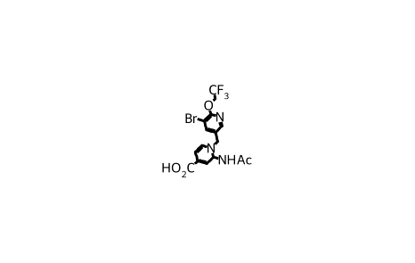 CC(=O)NC1C=C(C(=O)O)C=CN1Cc1cnc(OCC(F)(F)F)c(Br)c1